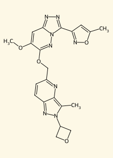 COc1cc2nnc(-c3cc(C)on3)n2nc1OCc1ccc2nn(C3COC3)c(C)c2n1